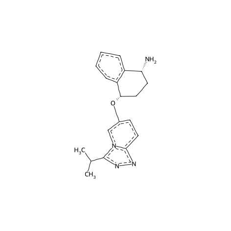 CC(C)c1nnc2ccc(O[C@H]3CC[C@@H](N)c4ccccc43)cn12